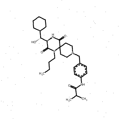 CCCCN1C(=O)[C@@H]([C@H](O)C2CCCCC2)NC(=O)C12CCN(Cc1ccc(NC(=O)C(C)C)cc1)CC2